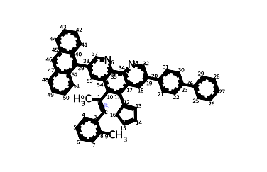 C/C(=C\c1ccccc1C)c1c(C2=CC=CC2)c2cc(-c3ccc(-c4ccccc4)cc3)cnc2c2ncc(-c3c4ccccc4cc4ccccc34)cc12